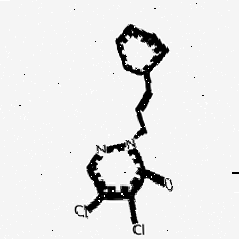 O=c1c(Cl)c(Cl)cnn1CC=Cc1ccccc1